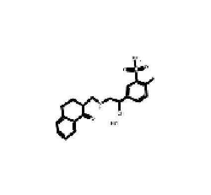 Cc1ccc(C(O)CNCC2CCc3ccccc3C2=O)cc1S(N)(=O)=O.Cl